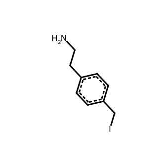 NCCc1ccc(CI)cc1